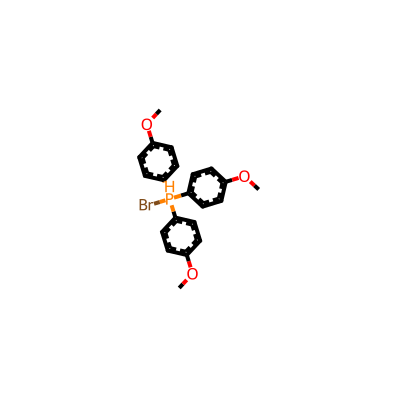 COc1ccc([PH](Br)(c2ccc(OC)cc2)c2ccc(OC)cc2)cc1